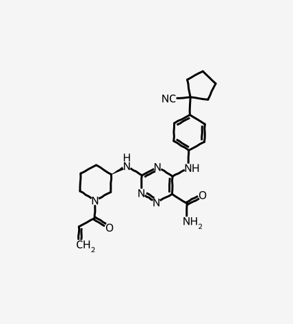 C=CC(=O)N1CCC[C@@H](Nc2nnc(C(N)=O)c(Nc3ccc(C4(C#N)CCCC4)cc3)n2)C1